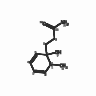 CN1C=CC=CC1(O)CCC(N)=O